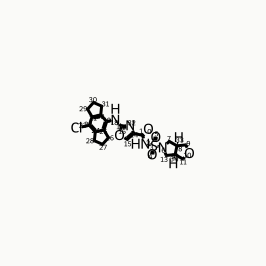 O=C(NS(=O)(=O)N1C[C@H]2COC[C@H]2C1)c1coc(Nc2c3c(c(Cl)c4c2CCC4)CCC3)n1